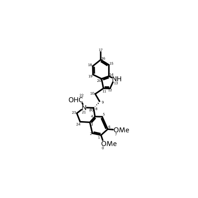 COc1cc2c(cc1OC)[C@@H](CCc1c[nH]c3cc(C)ccc13)N(C=O)CC2